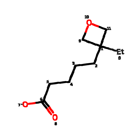 CCC1(CCCCC([O])=O)COC1